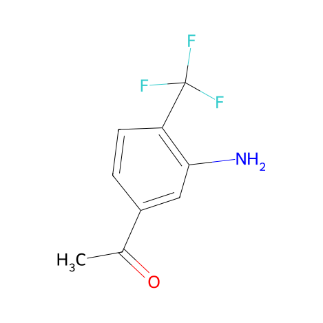 CC(=O)c1ccc(C(F)(F)F)c(N)c1